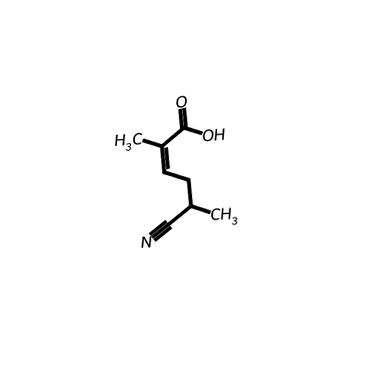 CC(=CCC(C)C#N)C(=O)O